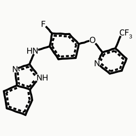 Fc1cc(Oc2ncccc2C(F)(F)F)ccc1Nc1nc2ccccc2[nH]1